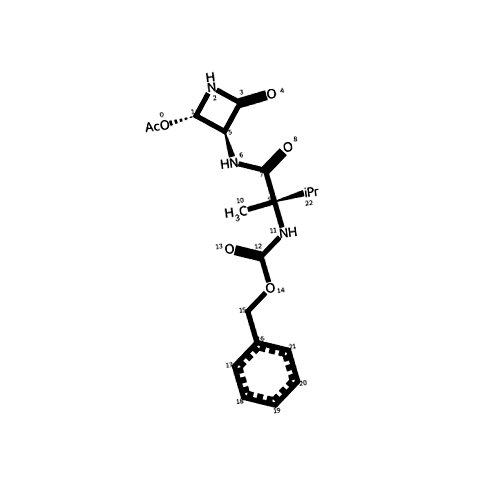 CC(=O)O[C@@H]1NC(=O)[C@H]1NC(=O)[C@@](C)(NC(=O)OCc1ccccc1)C(C)C